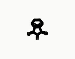 O=C1NC(=O)C2C3C=CC(CCC3)C12